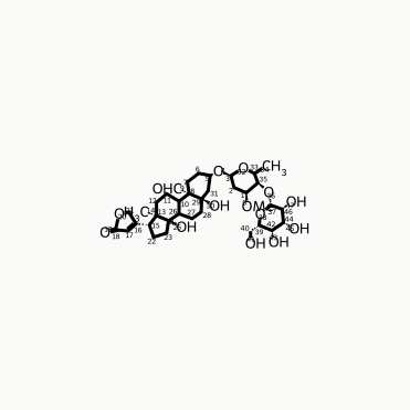 CO[C@H]1C[C@@H](O[C@H]2CC[C@]3(C=O)C4CC[C@]5(C)[C@@H](C6=CC(=O)OC6)CC[C@@]5(O)C4CC[C@@]3(O)C2)OC(C)[C@H]1O[C@H]1O[C@@H](CO)[C@@H](O)[C@@H](O)[C@H]1O